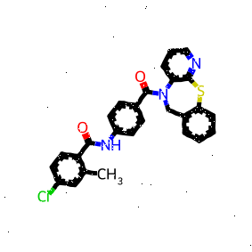 Cc1cc(Cl)ccc1C(=O)Nc1ccc(C(=O)N2Cc3ccccc3Sc3ncccc32)cc1